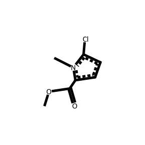 COC(=O)c1ccc(Cl)n1C